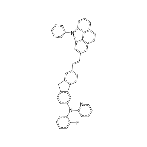 Fc1ccccc1N(c1ccc2c(c1)-c1ccc(/C=C/c3cc4ccc5cccc6c5c4c(c3)n6-c3ccccc3)cc1C2)c1ccccn1